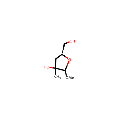 COC1O[C@H](CO)C[C@@]1(C)O